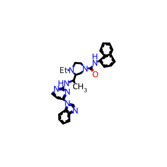 CCN1CCN(C(=O)Nc2cccc3ccccc23)CC1C(C)Nc1nccc(-n2cnc3ccccc32)n1